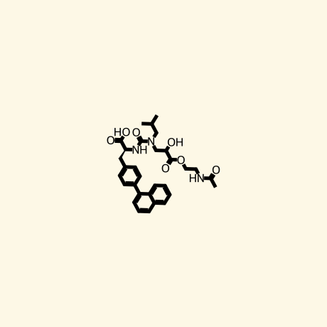 CC(=O)NCCOC(=O)C(O)CN(CC(C)C)C(=O)N[C@@H](Cc1ccc(-c2cccc3ccccc23)cc1)C(=O)O